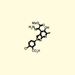 COC(=O)C(=NN)c1c(O)c(C)nc2nn(-c3ccc(Cl)c(C(=O)O)c3)cc12